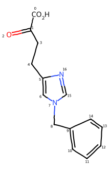 O=C(O)C(=O)CCc1cn(Cc2ccccc2)cn1